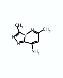 Cc1cc(N)c2nnc(C)n2n1